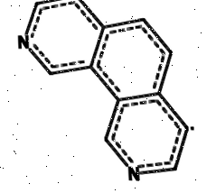 [c]1cncc2c1ccc1ccncc12